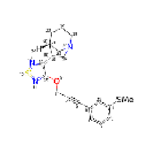 CSc1cccc(C#CCOc2nsnc2[C@H]2CN3CCC[C@@H]2C3)c1